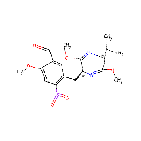 COC1=N[C@H](C(C)C)C(OC)=N[C@H]1Cc1cc(C=O)c(OC)cc1I(=O)=O